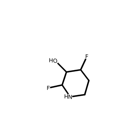 OC1C(F)CCNC1F